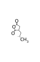 C[CH]CC1CC(=O)OC1=O